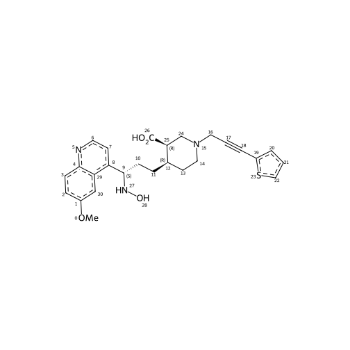 COc1ccc2nccc([C@H](CC[C@@H]3CCN(CC#Cc4cccs4)C[C@@H]3C(=O)O)NO)c2c1